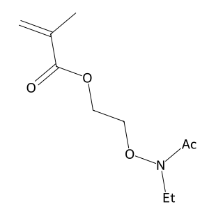 C=C(C)C(=O)OCCON(CC)C(C)=O